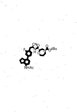 CC(=O)Nc1ccc(-c2ccc(C[C@@H](C#N)NC(=O)[C@@H]3CN(C(=O)OC(C)(C)C)CCCO3)c(F)c2)c2c1CCC2